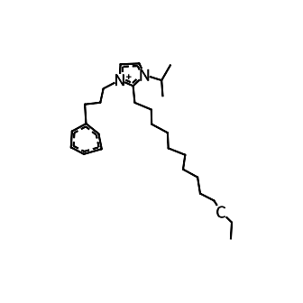 CCCCCCCCCCCCCc1n(C(C)C)cc[n+]1CCCc1ccccc1